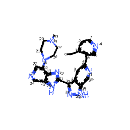 Cc1ccncc1-c1cc2c(-c3nc4c(N5CCN(C)CC5)cncc4[nH]3)n[nH]c2cn1